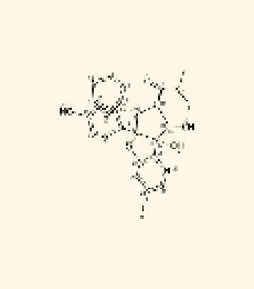 CN(C)C(=O)[C@@H]1[C@@H](c2ccccc2)C2(c3ccc(C#N)cc3)Oc3cc(Cl)cnc3[C@]2(O)[C@H]1C#N